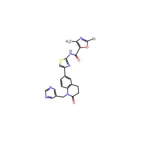 CCc1nc(C)c(C(=O)Nc2nc(-c3ccc4c(c3)CCC(=O)N4Cc3cncnc3)cs2)o1